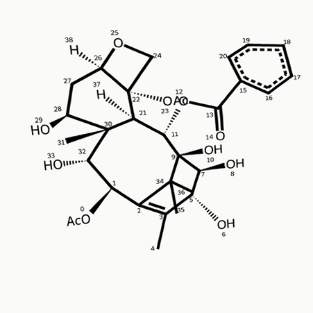 CC(=O)O[C@@H]1C2=C(C)[C@@H](O)[C@H](O)[C@@](O)([C@@H](OC(=O)c3ccccc3)[C@@H]3[C@]4(OC(C)=O)CO[C@@H]4C[C@H](O)[C@@]3(C)[C@H]1O)C2(C)C